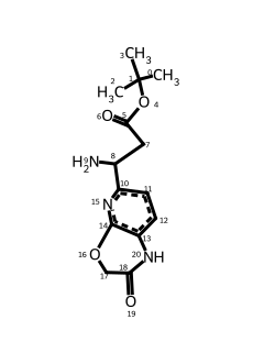 CC(C)(C)OC(=O)CC(N)c1ccc2c(n1)OCC(=O)N2